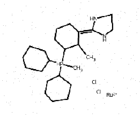 CC1C(=C2NCCN2)CCCC1[PH](C)(C1CCCCC1)C1CCCCC1.[Cl-].[Cl-].[Ru+2]